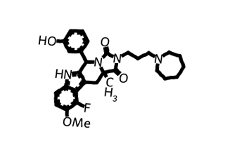 COc1ccc2[nH]c3c(c2c1F)CC1(C)C(=O)N(CCCN2CCCCCC2)C(=O)N1C3c1cccc(O)c1